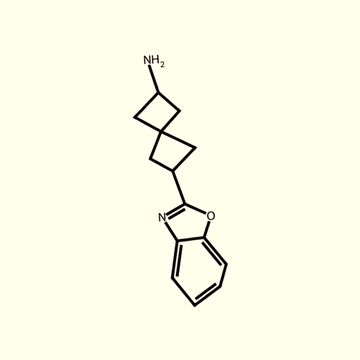 NC1CC2(C1)CC(c1nc3ccccc3o1)C2